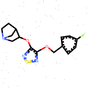 Fc1ccc(COc2nsnc2OC2CN3CCC2C3)cc1